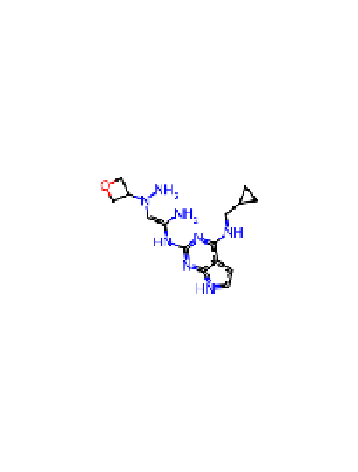 N/C(=C\N(N)C1COC1)Nc1nc(NCC2CC2)c2cc[nH]c2n1